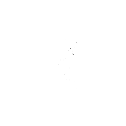 CC(C)OC(=O)CC(=O)/C=C\c1cccc([N+](=O)[O-])c1